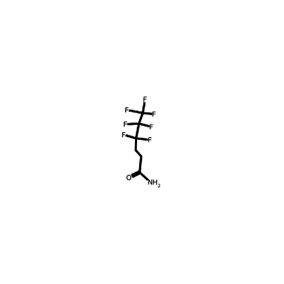 NC(=O)CCC(F)(F)C(F)(F)C(F)(F)F